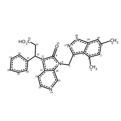 Cc1cc(C)c2c(Cn3c(=O)n(C(CC(=O)O)c4ccccc4)c4ccncc43)nsc2c1